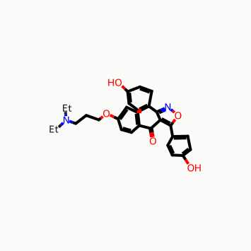 CCN(CC)CCCOc1ccc(C(=O)c2c(-c3ccc(O)cc3)noc2-c2ccc(O)cc2)cc1